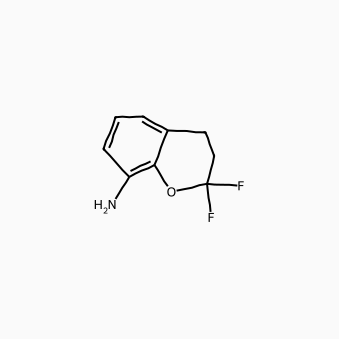 Nc1cccc2c1OC(F)(F)CC2